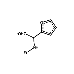 CCNC([C]=O)c1ccco1